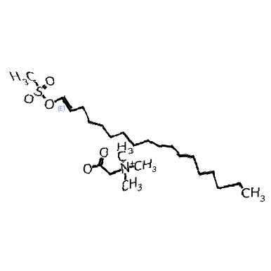 CCCCCCCCCCCCCCCC/C=C/OS(C)(=O)=O.C[N+](C)(C)CC(=O)[O-]